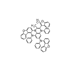 CC1=C(c2c(C)oc3ccccc23)N(c2ccccc2)c2cc(N(c3ccccc3)c3cccc4oc5ccccc5c34)cc3c2B1c1ccc2oc4ccccc4c2c1N3c1ccccc1